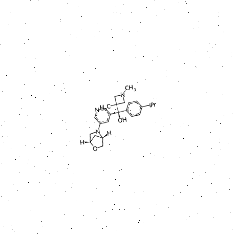 CC(C)c1ccc([C@](O)(c2cncc(N3C[C@@H]4C[C@H]3CO4)c2)C2(C)CN(C)C2)cc1